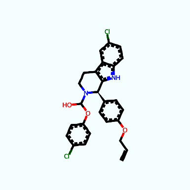 C=CCOc1ccc([C@@H]2c3[nH]c4ccc(Cl)cc4c3CCN2C(O)Oc2ccc(Cl)cc2)cc1